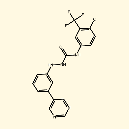 O=C(NNc1cccc(-c2cncnc2)c1)Nc1ccc(Cl)c(C(F)(F)F)c1